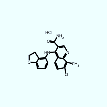 Cc1c(Cl)ccc2c(Nc3cccc4c3CCO4)c(C(N)=O)cnc12.Cl